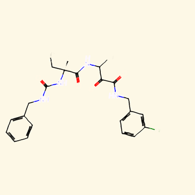 CCC(NC(=O)[C@@]([SiH3])(CC(C)C)NC(=O)NCc1ccccc1)C(=O)C(=O)NCc1cccc(Br)c1